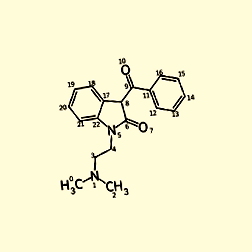 CN(C)CCN1C(=O)C(C(=O)c2ccccc2)c2ccccc21